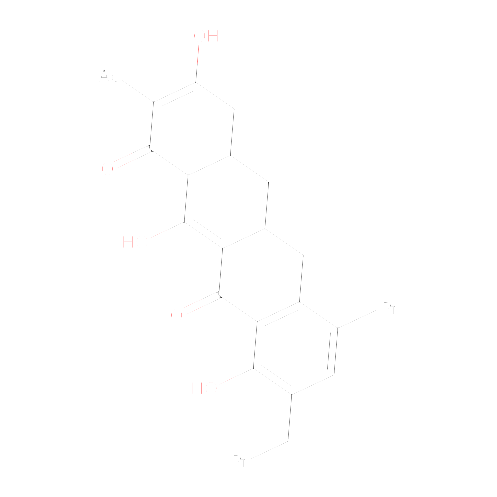 CC(=O)C1=C(O)CC2CC3Cc4c(C(C)C)cc(CC(C)C)c(O)c4C(=O)C3=C(O)C2C1=O